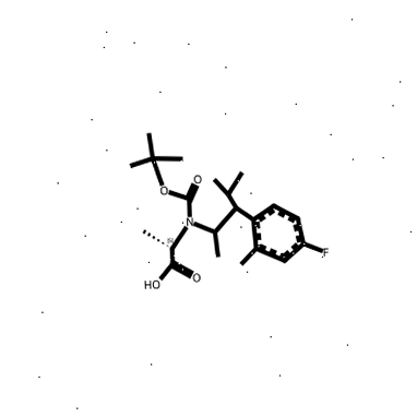 Cc1cc(F)ccc1C(C(C)C)C(C)N(C(=O)OC(C)(C)C)[C@@H](C)C(=O)O